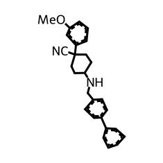 COc1cccc(C2(C#N)CCC(NCc3ccc(-c4ccccc4)cc3)CC2)c1